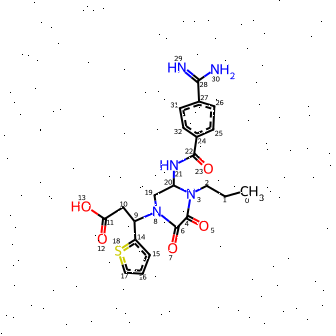 CCCN1C(=O)C(=O)N(C(CC(=O)O)c2cccs2)CC1NC(=O)c1ccc(C(=N)N)cc1